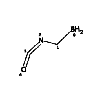 BCN=C=O